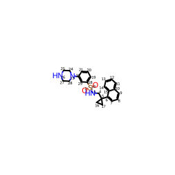 O=S(=O)(NCC1(c2cccc3ccccc23)CC1)c1cccc(N2CCNCC2)c1